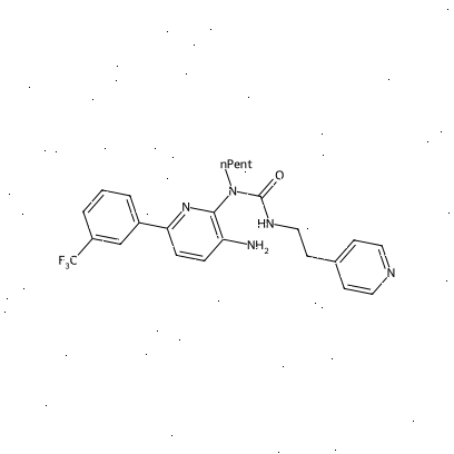 CCCCCN(C(=O)NCCc1ccncc1)c1nc(-c2cccc(C(F)(F)F)c2)ccc1N